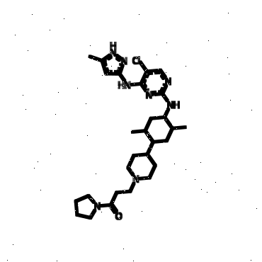 Cc1cc(Nc2nc(NC3CC(C)C(C4CCN(CCC(=O)N5CCCC5)CC4)CC3C)ncc2Cl)n[nH]1